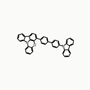 c1ccc2c(c1)Oc1c(-c3ccc(-c4ccc(-n5c6ccccc6c6ccccc65)cc4)cc3)ccc3c4ccccc4n-2c13